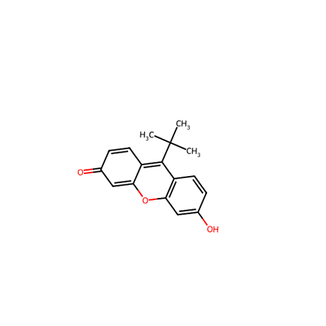 CC(C)(C)c1c2ccc(=O)cc-2oc2cc(O)ccc12